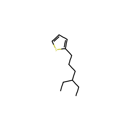 CCC(CC)CCCc1cccs1